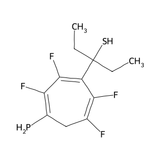 CCC(S)(CC)C1=C(F)C(F)=C(P)CC(F)=C1F